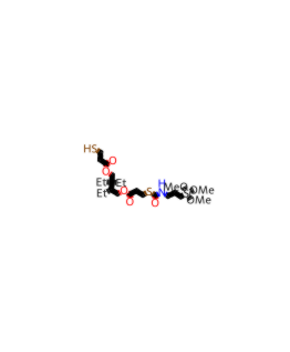 CCC(COC(=O)CCSC(=O)NCCC[Si](OC)(OC)OC)C(CC)(CC)COC(=O)CCS